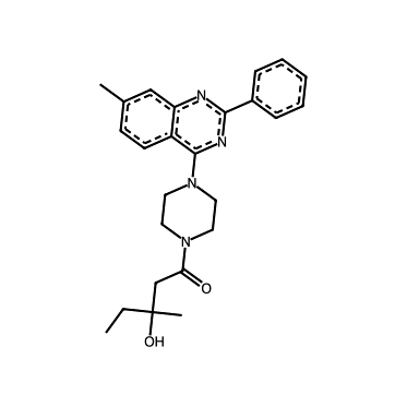 CCC(C)(O)CC(=O)N1CCN(c2nc(-c3ccccc3)nc3cc(C)ccc23)CC1